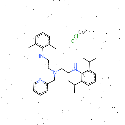 Cc1cccc(C)c1NCCN(CCNc1c(C(C)C)cccc1C(C)C)Cc1ccccn1.[Cl-].[Cl-].[Co+2]